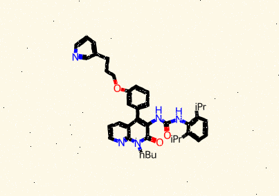 CCCCn1c(=O)c(NC(=O)Nc2c(C(C)C)cccc2C(C)C)c(-c2cccc(OCCCc3cccnc3)c2)c2cccnc21